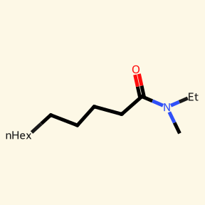 [CH2]CCCCCCCCCC(=O)N(C)CC